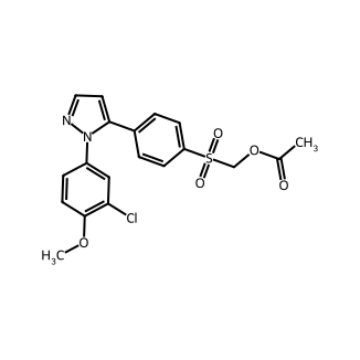 COc1ccc(-n2nccc2-c2ccc(S(=O)(=O)COC(C)=O)cc2)cc1Cl